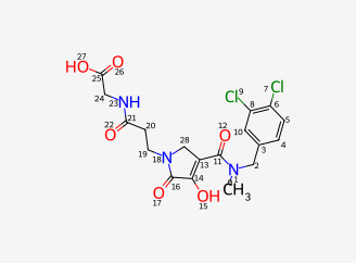 CN(Cc1ccc(Cl)c(Cl)c1)C(=O)C1=C(O)C(=O)N(CCC(=O)NCC(=O)O)C1